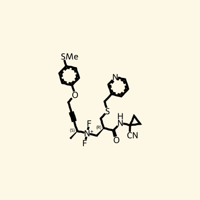 CSc1ccc(OCC#C[C@H](C)[N+](F)(F)C[C@@H](CSCc2cccnc2)C(=O)NC2(C#N)CC2)cc1